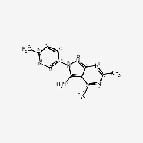 Nc1c2c(C(F)(F)F)nc(C(F)(F)F)nc2nn1-c1ccc(C(F)(F)F)nc1